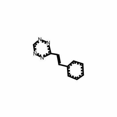 C(=C\c1nncnn1)/c1ccccc1